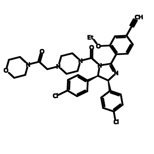 C#Cc1ccc(C2=N[C@@H](c3ccc(Cl)cc3)[C@@H](c3ccc(Cl)cc3)N2C(=O)N2CCN(CC(=O)N3CCOCC3)CC2)c(OCC)c1